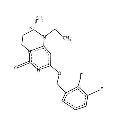 CCN1c2cc(OCc3cccc(F)c3F)nc(=O)n2CC[C@@H]1C